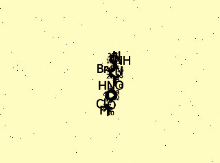 O=C(Nc1ccc(OC(F)(F)Cl)cc1)c1cnc(-c2ccn[nH]2)c(Br)c1